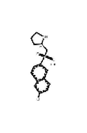 Br.O=S(=O)(C[C@H]1CCCN1)c1ccc2cc(Cl)ccc2c1